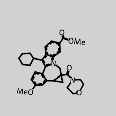 COC(=O)c1ccc2c(C3CCCCC3)c3n(c2c1)CC1(C(=O)N2CCOCC2)CC1c1cc(OC)ccc1-3